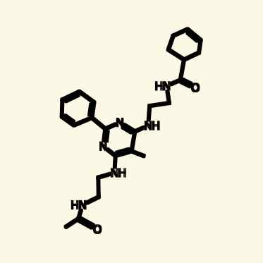 CC(=O)NCCNc1nc(-c2ccccc2)nc(NCCNC(=O)C2CC=CCC2)c1C